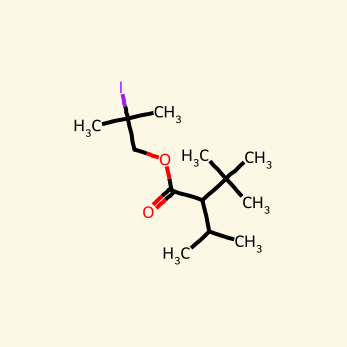 CC(C)C(C(=O)OCC(C)(C)I)C(C)(C)C